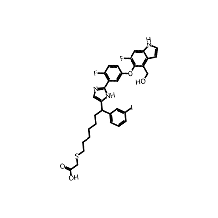 O=C(O)CSCCCCCCC(c1cccc(I)c1)c1cnc(-c2cc(Oc3c(F)cc4[nH]ccc4c3CO)ccc2F)[nH]1